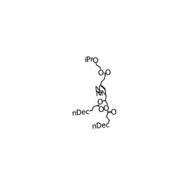 CCCCCCCCCCCCC(=O)OCC(Cn1cc(CCC(=O)OCCOC(C)C)nn1)OC(=O)CCCCCCCCCCCC